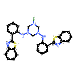 ClN1CN(Nc2ccccc2-c2nc3ccccc3s2)CN(Nc2ccccc2-c2nc3ccccc3s2)C1